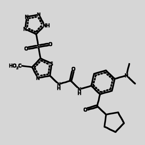 CN(C)c1ccc(NC(=O)Nc2nc(C(=O)O)c(S(=O)(=O)c3nnn[nH]3)s2)c(C(=O)C2CCCC2)c1